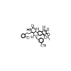 Cn1c(=O)c(=O)[nH]c2cc(C3NC(=O)NC(CCc4ccccc4Cl)=C3C(=O)OCc3cccc(C#N)c3)ccc21